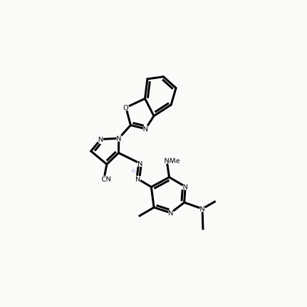 CNc1nc(N(C)C)nc(C)c1/N=N/c1c(C#N)cnn1-c1nc2ccccc2o1